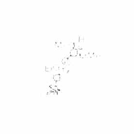 CCO[C@@H](C(=O)c1ccc(-c2cc(OC)c(C)c(OC)c2)o1)c1ccc(-c2nnc(C)s2)cc1